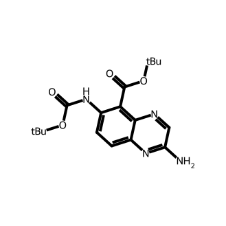 CC(C)(C)OC(=O)Nc1ccc2nc(N)cnc2c1C(=O)OC(C)(C)C